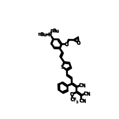 CCCCN(CCCC)C1C=C(OCC2CO2)C(/C=C/c2ccc(/C=C/C(=C(\C#N)C(OC(F)(F)F)=C(C#N)C#N)c3ccccc3)s2)=CC1